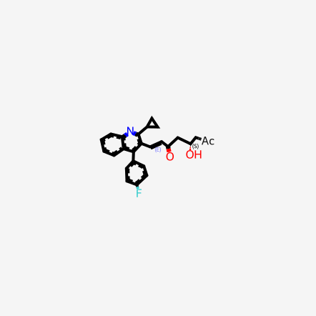 CC(=O)C[C@H](O)CC(=O)/C=C/c1c(C2CC2)nc2ccccc2c1-c1ccc(F)cc1